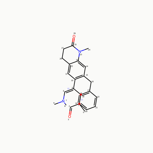 C/C(C=O)=C/C(=C\N(C)C)c1cc2c(cc1Cc1ccccc1)N(C)C(=O)CC2